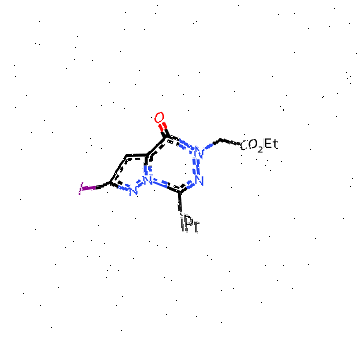 CCOC(=O)Cn1nc(C(C)C)n2nc(I)cc2c1=O